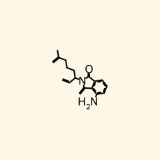 C=CC(CCCC(=C)C)N1C(=C)c2c(N)cccc2C1=O